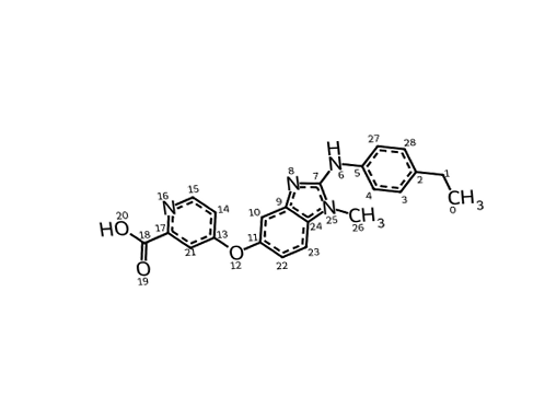 CCc1ccc(Nc2nc3cc(Oc4ccnc(C(=O)O)c4)ccc3n2C)cc1